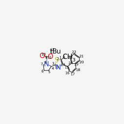 Cc1sc(C2CCCN2C(=O)OC(C)(C)C)nc1-c1cccc2ccccc12